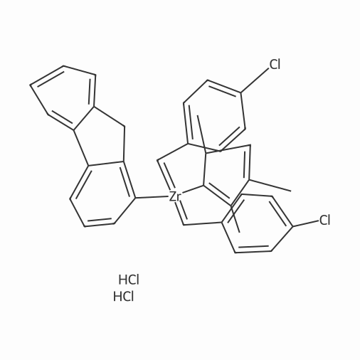 CC1=CC(C)[C]([Zr](=[CH]c2ccc(Cl)cc2)(=[CH]c2ccc(Cl)cc2)[c]2cccc3c2Cc2ccccc2-3)=C1C.Cl.Cl